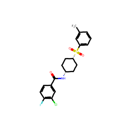 O=C(N[C@H]1CC[C@@H](S(=O)(=O)c2cccc(C(F)(F)F)c2)CC1)c1ccc(F)c(Cl)c1